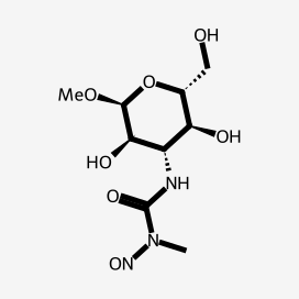 CO[C@H]1O[C@H](CO)[C@@H](O)[C@H](NC(=O)N(C)N=O)[C@H]1O